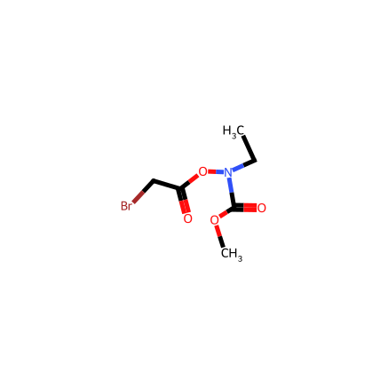 CCN(OC(=O)CBr)C(=O)OC